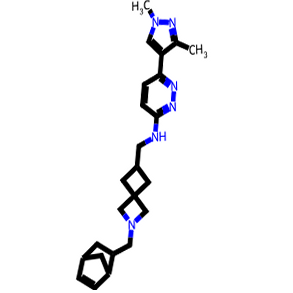 Cc1nn(C)cc1-c1ccc(NCC2CC3(C2)CN(CC2CC4C=CC2C4)C3)nn1